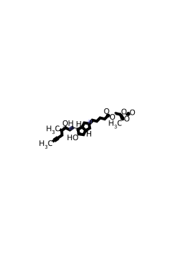 CC#CCC(C)[C@H](O)/C=C/[C@@H]1[C@H]2C/C(=C/CCCC(=O)OCc3oc(=O)oc3C)C[C@H]2C[C@H]1O